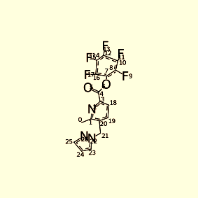 Cc1nc(C(=O)Oc2c(F)c(F)c(F)c(F)c2F)ccc1Cn1cccn1